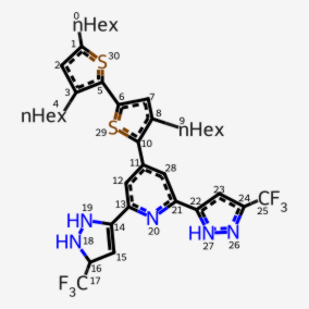 CCCCCCc1cc(CCCCCC)c(-c2cc(CCCCCC)c(-c3cc(C4=CC(C(F)(F)F)NN4)nc(-c4cc(C(F)(F)F)n[nH]4)c3)s2)s1